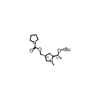 C[C@H](OC(C)(C)C)[C@@H]1C[C@H](COC(=O)N2CCCC2)CN1C